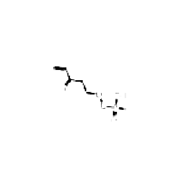 C=CC(=O)CCOOP(=O)(O)O